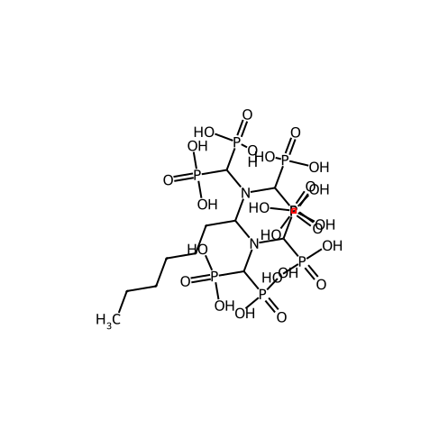 CCCCCCC(N(C(P(=O)(O)O)P(=O)(O)O)C(P(=O)(O)O)P(=O)(O)O)N(C(P(=O)(O)O)P(=O)(O)O)C(P(=O)(O)O)P(=O)(O)O